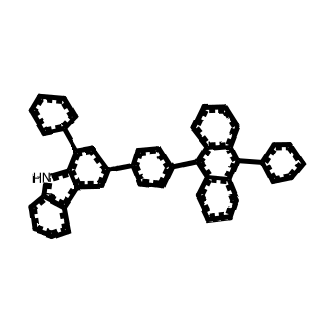 c1ccc(-c2c3ccccc3c(-c3ccc(-c4cc(-c5ccccc5)c5[nH]c6ccccc6c5c4)cc3)c3ccccc23)cc1